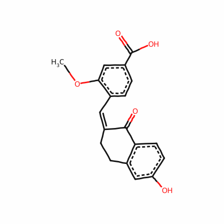 COc1cc(C(=O)O)ccc1C=C1CCc2cc(O)ccc2C1=O